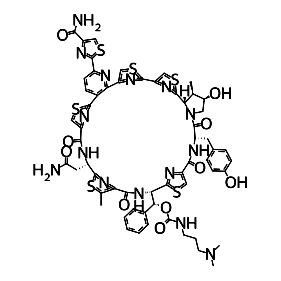 Cc1sc2nc1C(=O)N[C@@H]([C@H](OC(=O)NCCCN(C)C)c1ccccc1)c1nc(cs1)C(=O)N[C@@H](Cc1ccc(O)cc1)C(=O)N1C[C@H](O)[C@H](C)[C@H]1c1nc(cs1)-c1nc(cs1)-c1nc(-c3nc(C(N)=O)cs3)ccc1-c1nc(cs1)C(=O)N[C@H]2CC(N)=O